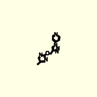 Cc1cnc(OCc2cn(-c3ccncc3)nn2)nc1